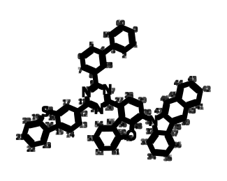 c1ccc(-c2cccc(-c3nc(-c4ccc5c(c4)sc4ccccc45)nc(-c4ccc(-n5c6ccccc6c6cc7ccccc7cc65)c5oc6ccccc6c45)n3)c2)cc1